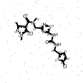 Cc1nn(C)c(Cl)c1C(=O)N(C)Cc1nsc(NC(=O)NCc2ccc(Cl)s2)n1